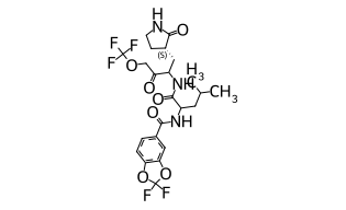 CC(C)CC(NC(=O)c1ccc2c(c1)OC(F)(F)O2)C(=O)NC(C[C@@H]1CCNC1=O)C(=O)COC(F)(F)F